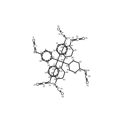 O=C=Nc1ccc(C(c2ccc(N=C=O)cc2)(c2ccc(N=C=O)cc2)C(C2CCC(N=C=O)CC2)(C2CCC(N=C=O)CC2)C2CCC(N=C=O)CC2)cc1